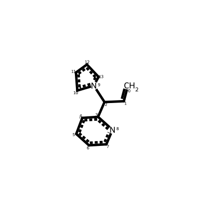 C=CC(c1[c]cccn1)n1cccc1